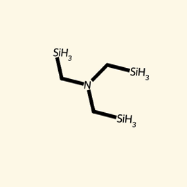 [SiH3]CN(C[SiH3])C[SiH3]